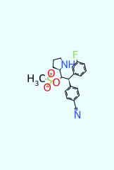 CS(=O)(=O)O[C@H]([C@H](c1ccc(C#N)cc1)c1cccc(F)c1)[C@H]1CCCN1